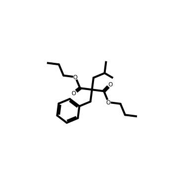 CCCOC(=O)C(Cc1ccccc1)(CC(C)C)C(=O)OCCC